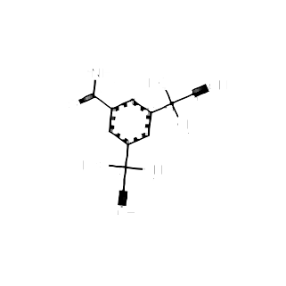 C#CC(C)(C)c1cc(C(N)=O)cc(C(C)(C)C#C)c1